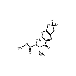 [2H]C1([2H])Oc2ccc(C(=O)[C@H](C)N(C)C(=O)OC(C)(C)C)cc2O1